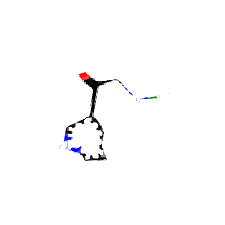 CC(C)[C@H](NCl)C(=O)c1cccnc1